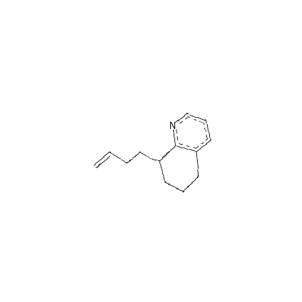 C=CCCC1CCCc2cccnc21